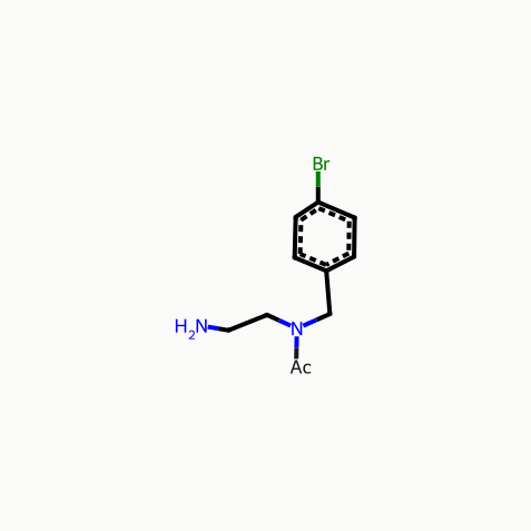 CC(=O)N(CCN)Cc1ccc(Br)cc1